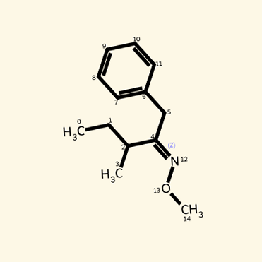 CCC(C)/C(Cc1ccccc1)=N\OC